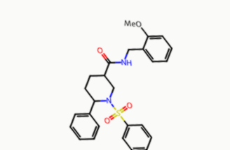 COc1ccccc1CNC(=O)C1CCC(c2ccccc2)N(S(=O)(=O)c2ccccc2)C1